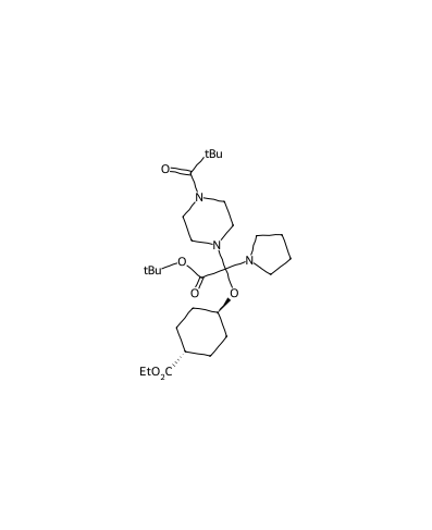 CCOC(=O)[C@H]1CC[C@H](OC(C(=O)OC(C)(C)C)(N2CCCC2)N2CCN(C(=O)C(C)(C)C)CC2)CC1